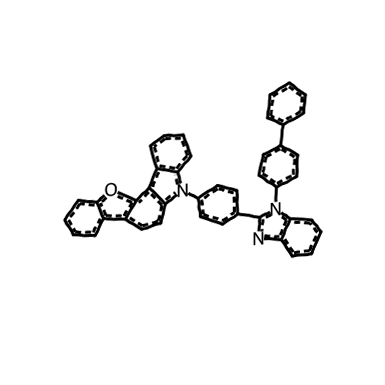 c1ccc(-c2ccc(-n3c(-c4ccc(-n5c6ccccc6c6c7oc8ccccc8c7ccc65)cc4)nc4ccccc43)cc2)cc1